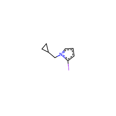 Ic1cccn1CC1CC1